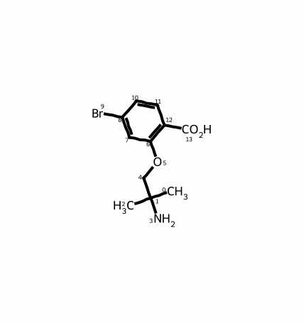 CC(C)(N)COc1cc(Br)ccc1C(=O)O